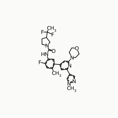 Cc1cc(F)c(NC(=O)N2CCC(C(C)(F)F)C2)cc1-c1cc(-c2cnn(C)c2)nc(N2CCOCC2)c1